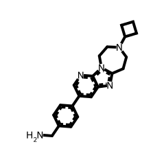 NCc1ccc(-c2cnc3c(c2)nc2n3CCN(C3CCC3)CC2)cc1